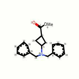 COC(=O)C1CC(N(Cc2ccccc2)Cc2ccccc2)C1